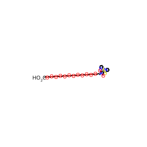 O=C(O)COCCOCCOCCOCCOCCOCCOCCOCCOCCOCCOCCOCCCN1C(=O)C(Sc2ccccn2)=C(Sc2ccccn2)C1=O